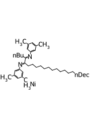 CCCCCCCCCCCCCCCCCCCCCCC(=N\c1cc(C)cc(C)c1)/C(CCCC)=N/c1cc(C)cc(C)c1.[Ni]